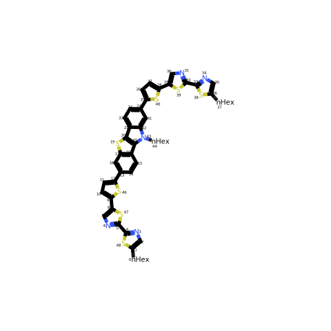 CCCCCCc1cnc(-c2ncc(-c3ccc(-c4ccc5c(c4)sc4c6ccc(-c7ccc(-c8cnc(-c9ncc(CCCCCC)s9)s8)s7)cc6n(CCCCCC)c54)s3)s2)s1